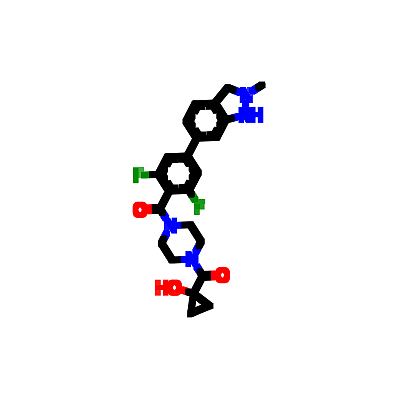 CN1Cc2ccc(-c3cc(F)c(C(=O)N4CCN(C(=O)C5(O)CC5)CC4)c(F)c3)cc2N1